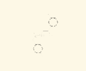 C[C@H](Cc1ccc([O])cc1)NC[C@H](O)c1cccc(Cl)c1